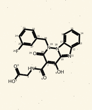 O=C(O)CNC(=O)c1c(O)c2nc3ccccc3n2n(Cc2cccc(F)c2)c1=O